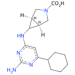 Nc1nc(NC2[C@H]3CN(C(=O)O)C[C@@H]23)cc(C2CCCCC2)n1